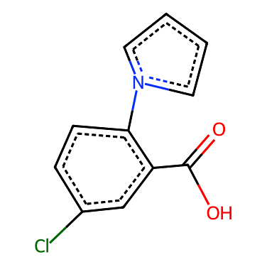 O=C(O)c1cc(Cl)ccc1-n1cccc1